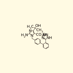 CCOC(=O)c1c(C(C)(C)O)nc(N)n1Cc1ccc(-c2ccccc2-c2nnn[nH]2)cc1